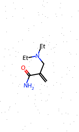 C=C(CN(CC)CC)C(N)=O